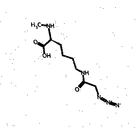 CN[C@@H](CCCCNC(=O)CN=[N+]=[N-])C(=O)O